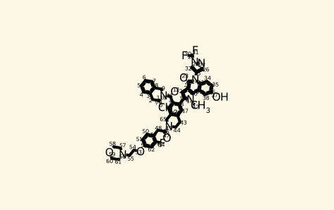 C[C@@H]1Cc2ccccc2CN1C(=O)c1cc2c(cc1-c1cc3c(=O)n(-c4cnn(C(F)F)c4)c4ccc(O)cc4c3n1C)CCN(C(=O)Cc1ccc(OCCN3CCOCC3)cc1F)C2